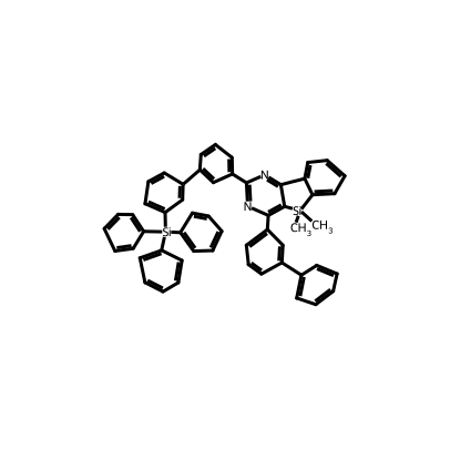 C[Si]1(C)c2ccccc2-c2nc(-c3cccc(-c4cccc([Si](c5ccccc5)(c5ccccc5)c5ccccc5)c4)c3)nc(-c3cccc(-c4ccccc4)c3)c21